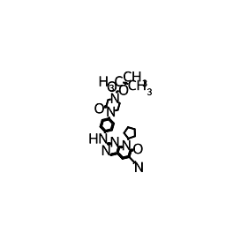 CC(C)(C)OC(=O)N1CCN(c2ccc(Nc3ncc4cc(C#N)c(=O)n(C5CCCC5)c4n3)cc2)C(=O)C1